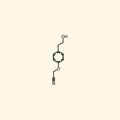 N#CCOc1ccc(CCO)cc1